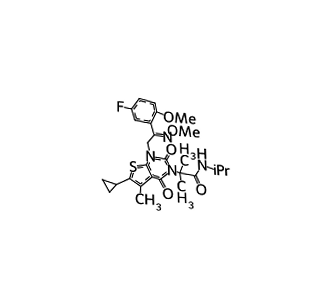 CO/N=C(/Cn1c(=O)n(C(C)(C)C(=O)NC(C)C)c(=O)c2c(C)c(C3CC3)sc21)c1cc(F)ccc1OC